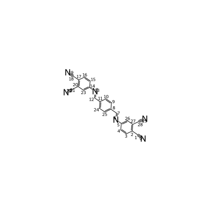 N#Cc1ccc(N=Cc2ccc(C=Nc3ccc(C#N)c(C#N)c3)cc2)cc1C#N